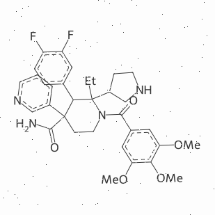 CCC1(C2CCNC2)C(c2ccc(F)c(F)c2)C(C(N)=O)(c2cccnc2)CCN1C(=O)c1cc(OC)c(OC)c(OC)c1